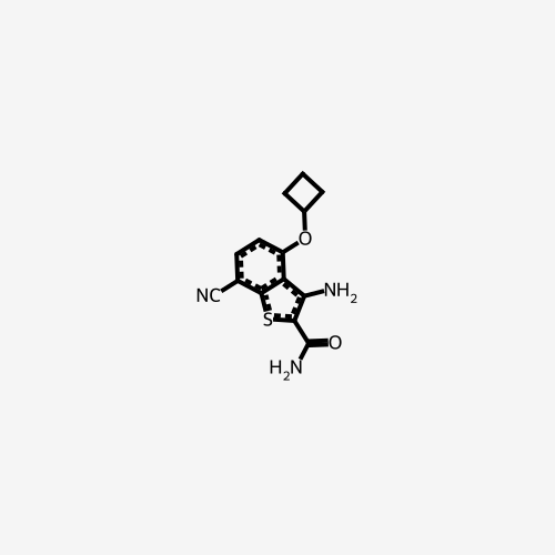 N#Cc1ccc(OC2CCC2)c2c(N)c(C(N)=O)sc12